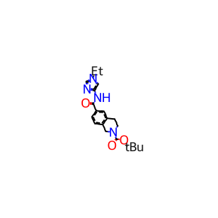 CCn1cnc(NC(=O)c2ccc3c(c2)CCN(C(=O)OC(C)(C)C)C3)c1